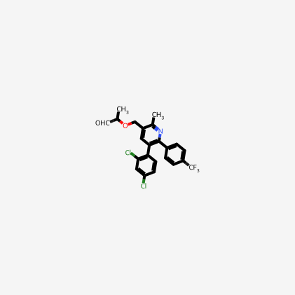 Cc1nc(-c2ccc(C(F)(F)F)cc2)c(-c2ccc(Cl)cc2Cl)cc1COC(C)C=O